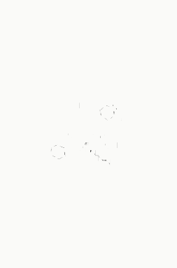 Cc1cnc(Br)c(S[C@H]2OC3COC(c4ccccc4)O[C@@H]3C(N=[N+]=[N-])C2O)c1